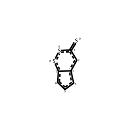 S=c1cc2cccc-2ss1